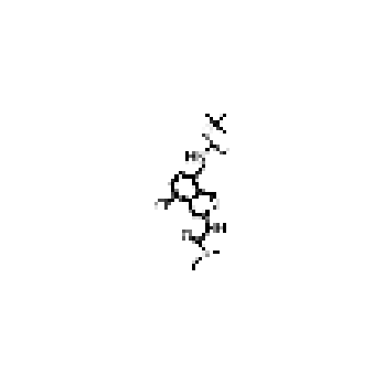 CCNC(=O)Nc1cc2c(Cl)ccc(CNC(=O)OC(C)(C)C)c2cn1